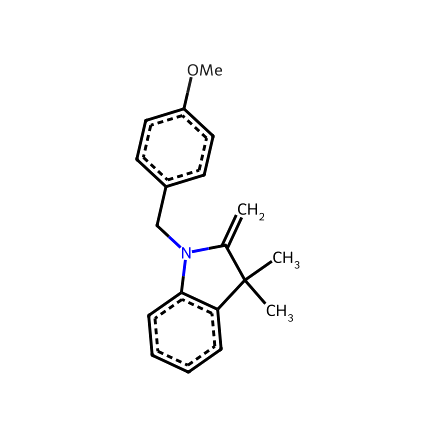 C=C1N(Cc2ccc(OC)cc2)c2ccccc2C1(C)C